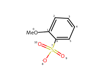 COc1ccccc1S([O])(=O)=O